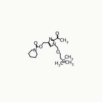 CC(=O)c1nc(COC(=O)N2CCCCC2)cn1COCC[Si](C)(C)C